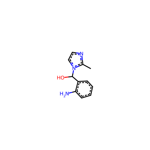 Cc1nccn1C(O)c1ccccc1N